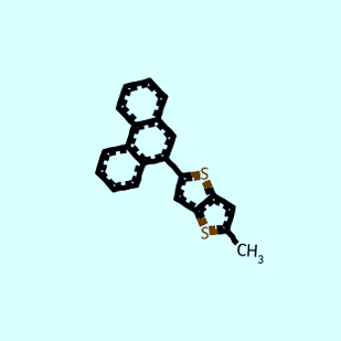 Cc1cc2sc(-c3cc4ccccc4c4ccccc34)cc2s1